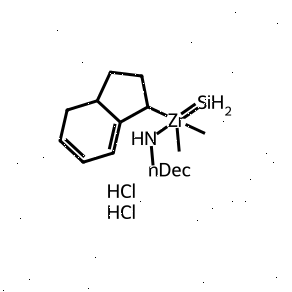 CCCCCCCCCC[NH][Zr]([CH3])([CH3])(=[SiH2])[CH]1CCC2CC=CC=C21.Cl.Cl